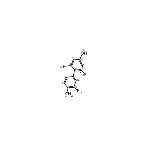 Cc1ccc(-c2c(F)cc(O)cc2F)cc1F